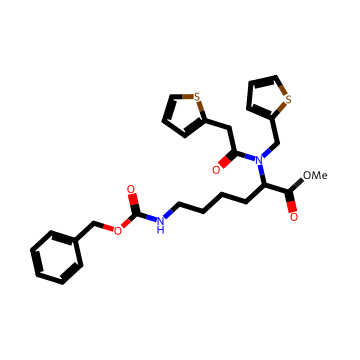 COC(=O)C(CCCCNC(=O)OCc1ccccc1)N(Cc1cccs1)C(=O)Cc1cccs1